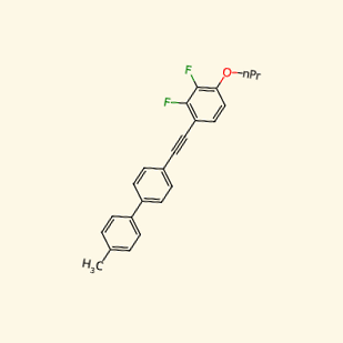 CCCOc1ccc(C#Cc2ccc(-c3ccc(C)cc3)cc2)c(F)c1F